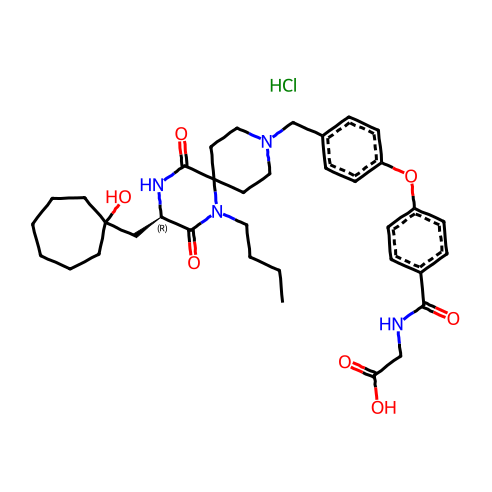 CCCCN1C(=O)[C@@H](CC2(O)CCCCCC2)NC(=O)C12CCN(Cc1ccc(Oc3ccc(C(=O)NCC(=O)O)cc3)cc1)CC2.Cl